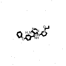 CCC(=O)N1CCCC(Nc2ncnc(N)c2C(=N)c2ccc(Oc3ccccc3)cc2)C1